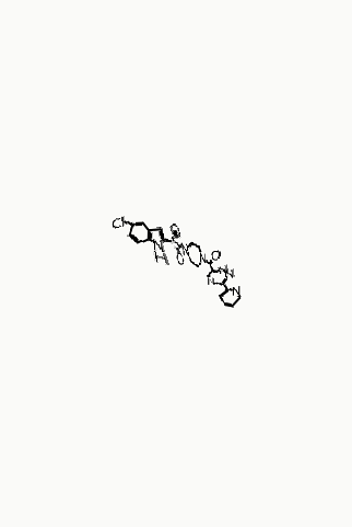 O=C(c1cnc(-c2ccccn2)nn1)N1CCN(S(=O)(=O)c2cc3cc(Cl)ccc3[nH]2)CC1